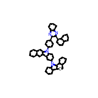 c1ccc2cc3c(cc2c1)c1cc(-n2c4ccccc4c4ccc5ccccc5c42)ccc1n3-c1ccc(-c2nc3ccccc3nc2-c2cccc3ccccc23)cc1